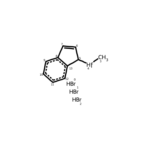 Br.Br.Br.[CH3][Hf][CH]1C=Cc2ccccc21